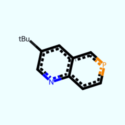 CC(C)(C)c1cnc2ccpcc2c1